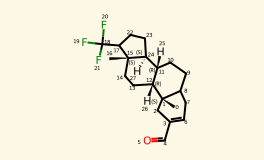 C[C@]12CC(C=O)=CCC1CC[C@@H]1[C@H]2CC[C@]2(C)C(C(F)(F)F)CC[C@@H]12